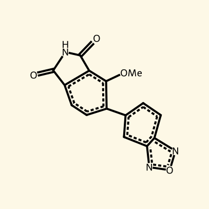 COc1c(-c2ccc3nonc3c2)ccc2c1C(=O)NC2=O